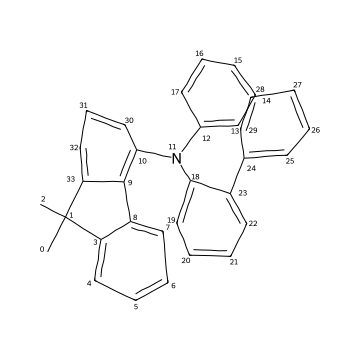 CC1(C)c2ccccc2-c2c(N(c3ccccc3)c3ccccc3-c3ccccc3)cccc21